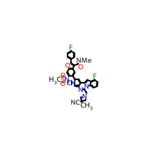 CNC(=O)c1c(-c2ccc(F)cc2)oc2cc(N(C)S(C)(=O)=O)c(-c3cc4c(cn3)nc(CN3CC(C)(C#N)C3)n3c5cccc(F)c5cc43)cc12